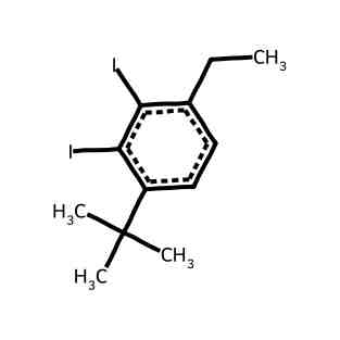 CCc1ccc(C(C)(C)C)c(I)c1I